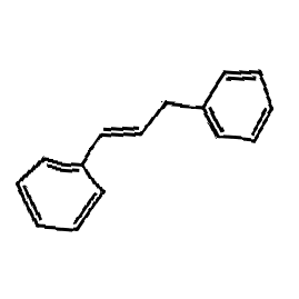 [CH](C=Cc1ccccc1)c1ccccc1